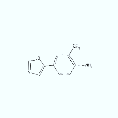 Nc1ccc(-c2cnco2)cc1C(F)(F)F